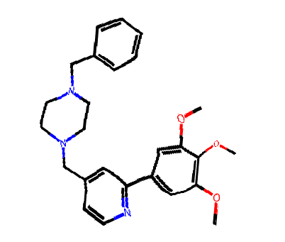 COc1cc(-c2cc(CN3CCN(Cc4ccccc4)CC3)ccn2)cc(OC)c1OC